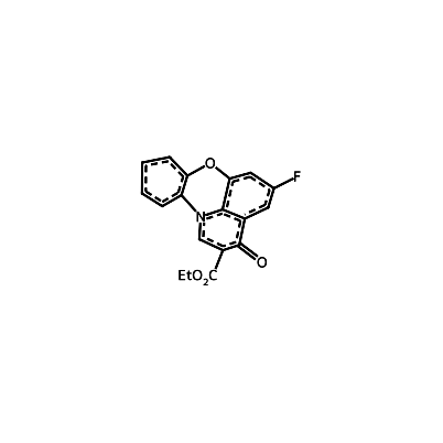 CCOC(=O)c1cn2c3c(cc(F)cc3c1=O)Oc1ccccc1-2